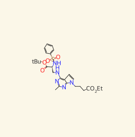 CCOC(=O)CCCn1ccc2c(NC[C@H](NS(=O)(=O)c3ccccc3)C(=O)OC(C)(C)C)nc(C)nc21